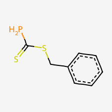 PC(=S)SCc1ccccc1